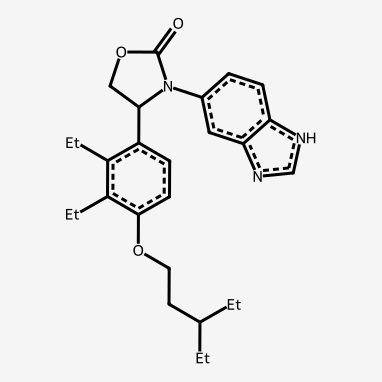 CCc1c(OCCC(CC)CC)ccc(C2COC(=O)N2c2ccc3[nH]cnc3c2)c1CC